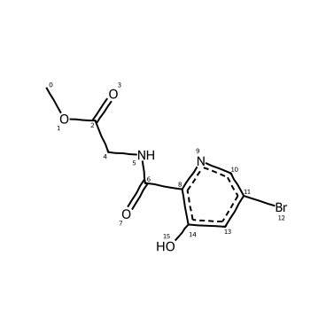 COC(=O)CNC(=O)c1ncc(Br)cc1O